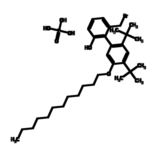 CCCCCCCCCCCCOc1cc(-c2c(O)cccc2CBr)c(C(C)(C)C)cc1C(C)(C)C.O=P(O)(O)O